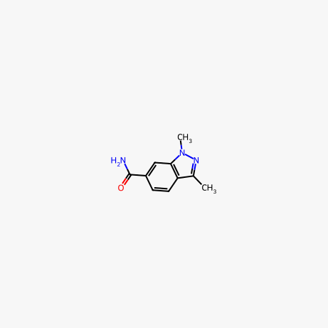 Cc1nn(C)c2cc(C(N)=O)ccc12